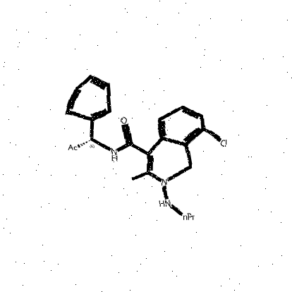 CCCNN1Cc2c(Cl)cccc2C(C(=O)N[C@H](C(C)=O)c2ccccc2)=C1C